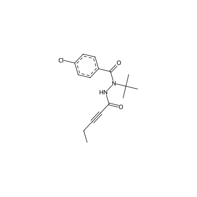 CCC#CC(=O)NN(C(=O)c1ccc(Cl)cc1)C(C)(C)C